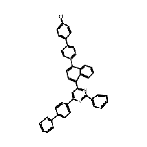 Clc1ccc(-c2ccc(-c3ccc(-c4cc(-c5ccc(-c6ccccc6)cc5)nc(-c5ccccc5)n4)c4ccccc34)cc2)cc1